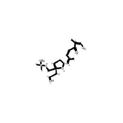 CC(=O)/C=C(/C)C(=O)/C=C\C(C)=C/[C@H]1CC[C@@](CCO)(CO[Si](C)(C)C(C)(C)C)O1